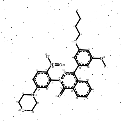 CCCCOc1cc(OC)cc(-c2nn(-c3cc(N4CCOCC4)ccc3[N+](=O)[O-])c(=O)c3ccccc23)c1